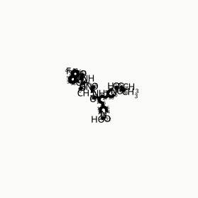 CCOC(=O)[C@H](CNC(=O)CNC(=O)C(CCC1CCN(C(=O)O)CC1)CCC1CCN(C(=O)OC(C)(C)C)CC1)NS(=O)(=O)c1ccc(F)c2ccccc12